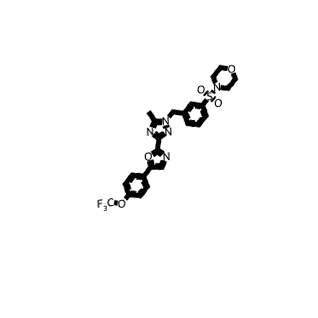 Cc1nc(-c2ncc(-c3ccc(OC(F)(F)F)cc3)o2)nn1Cc1cccc(S(=O)(=O)N2CCOCC2)c1